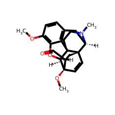 COc1ccc2c3c1O[C@H]1[C@@]4(OC)C=C[C@@]5(C[C@@H]4C=O)[C@@H](C2)N(C)CC[C@]315